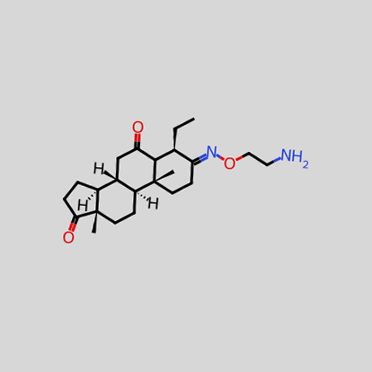 CC[C@H]1C(=NOCCN)CC[C@@]2(C)C1C(=O)C[C@@H]1[C@@H]2CC[C@]2(C)C(=O)CC[C@@H]12